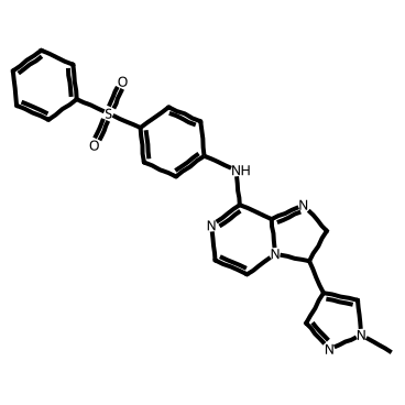 Cn1cc(C2CN=C3C(Nc4ccc(S(=O)(=O)c5ccccc5)cc4)=NC=CN32)cn1